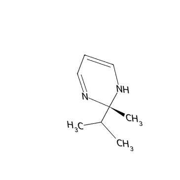 CC(C)[C@]1(C)N=CC=CN1